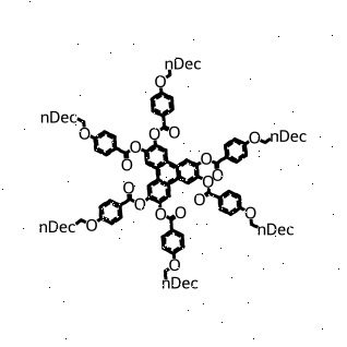 CCCCCCCCCCCOc1ccc(C(=O)Oc2cc3c4cc(OC(=O)c5ccc(OCCCCCCCCCCC)cc5)c(OC(=O)c5ccc(OCCCCCCCCCCC)cc5)cc4c4cc(OC(=O)c5ccc(OCCCCCCCCCCC)cc5)c(OC(=O)c5ccc(OCCCCCCCCCCC)cc5)cc4c3cc2OC(=O)c2ccc(OCCCCCCCCCCC)cc2)cc1